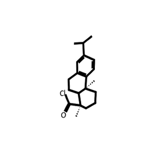 CC(C)c1ccc2c(c1)CCC1[C@](C)(C(=O)Cl)CCC[C@]21C